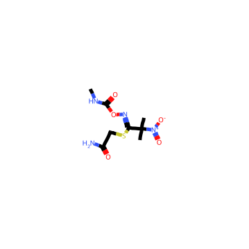 CNC(=O)O/N=C(\SCC(N)=O)C(C)(C)[N+](=O)[O-]